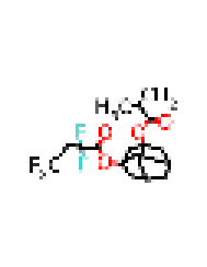 C=C(C)C(=O)OC12CC3CC(C1)CC(OC(=O)C(F)(F)CC(F)(F)F)(C3)C2